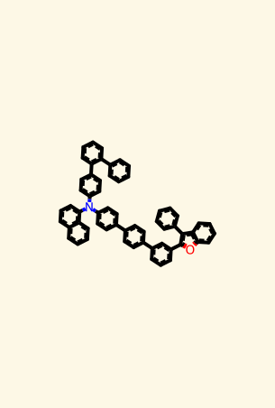 c1ccc(-c2ccccc2-c2ccc(N(c3ccc(-c4ccc(-c5cccc(-c6oc7ccccc7c6-c6ccccc6)c5)cc4)cc3)c3cccc4ccccc34)cc2)cc1